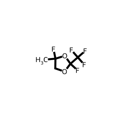 CC1(F)COC(F)(C(F)(F)F)O1